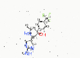 CNc1ncc([C@@H]2CC(O)(c3ccc(C(F)(F)F)cc3)C[C@H](C)N2)cn1